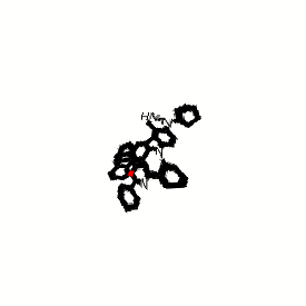 c1ccc(-c2cc(-c3ccccc3)nc(-c3ccccc3-n3c4cc5c(ccc6ccccc65)cc4c4c5c(ccc43)N(c3ccccc3)NC5)c2)cc1